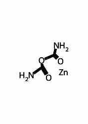 NC(=O)OC(N)=O.[Zn]